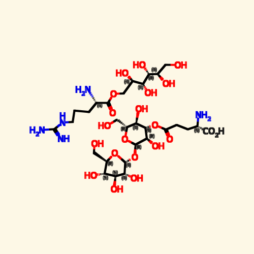 N=C(N)NCCC[C@H](N)C(=O)OC[C@@H](O)[C@@H](O)[C@H](O)[C@H](O)CO.N[C@@H](CCC(=O)O[C@@H]1[C@@H](O)[C@@H](O[C@H]2O[C@H](CO)[C@@H](O)[C@H](O)[C@H]2O)O[C@H](CO)[C@H]1O)C(=O)O